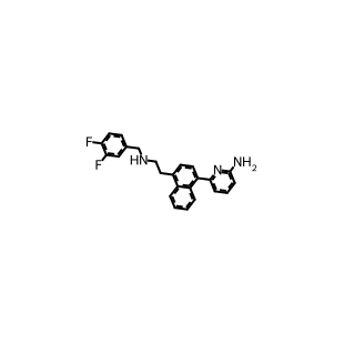 Nc1cccc(-c2ccc(CCNCc3ccc(F)c(F)c3)c3ccccc23)n1